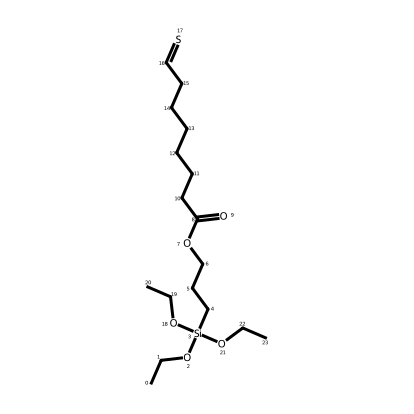 CCO[Si](CCCOC(=O)CCCCCCC=S)(OCC)OCC